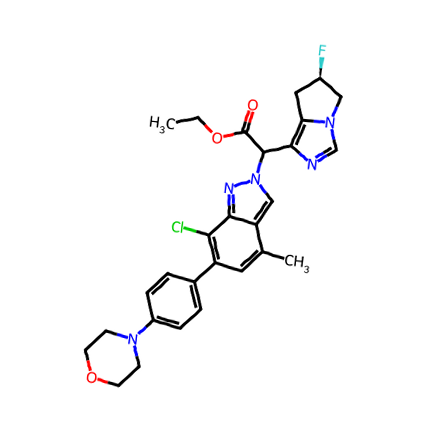 CCOC(=O)C(c1ncn2c1C[C@@H](F)C2)n1cc2c(C)cc(-c3ccc(N4CCOCC4)cc3)c(Cl)c2n1